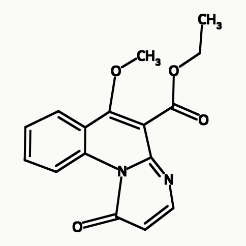 CCOC(=O)c1c(OC)c2ccccc2n2c(=O)ccnc12